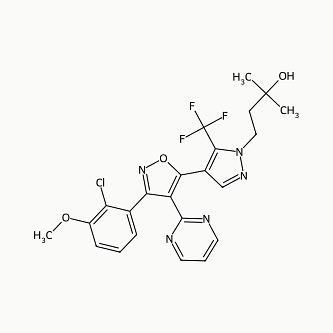 COc1cccc(-c2noc(-c3cnn(CCC(C)(C)O)c3C(F)(F)F)c2-c2ncccn2)c1Cl